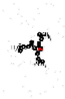 CC1(C)c2ccccc2-c2cc(-c3ccc4c(c3)c3ccccc3n4-c3ccc(-n4c5ccccc5c5cc(-c6ccc7c(c6)-c6ccccc6C7(C)C)ccc54)c(-n4c5ccccc5c5cc(-c6ccc7c(c6)-c6ccccc6C7(C)C)ccc54)n3)ccc21